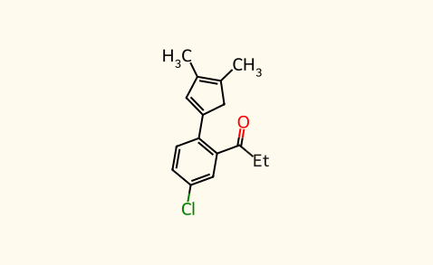 CCC(=O)c1cc(Cl)ccc1C1=CC(C)=C(C)C1